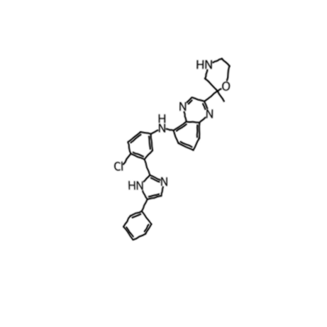 CC1(c2cnc3c(Nc4ccc(Cl)c(-c5ncc(-c6ccccc6)[nH]5)c4)cccc3n2)CNCCO1